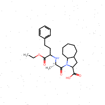 CCOC(=O)C(CCc1ccccc1)N[C@@H](C)C(=O)N1C(C(=O)O)CC2CCCCCC21